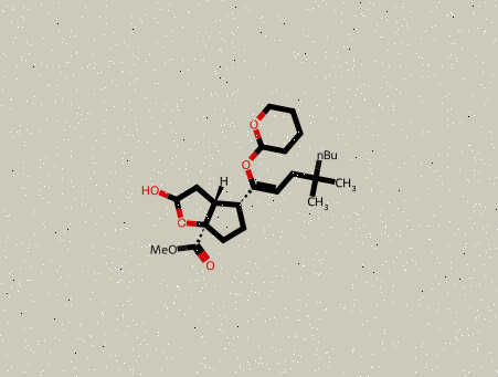 CCCCC(C)(C)CC=C(OC1CCCCO1)[C@@H]1CC[C@@]2(C(=O)OC)OC(O)C[C@H]12